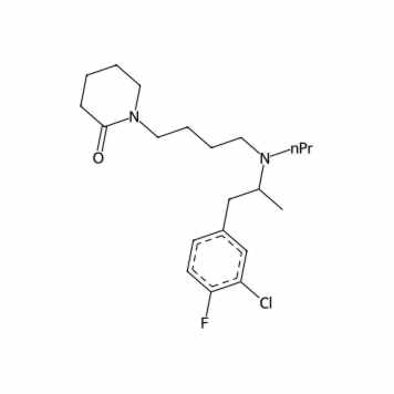 CCCN(CCCCN1CCCCC1=O)C(C)Cc1ccc(F)c(Cl)c1